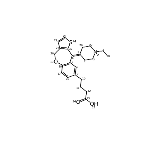 CCN1CCC(=C2c3cc(CCCC(=O)O)ccc3OCc3ccsc32)CC1